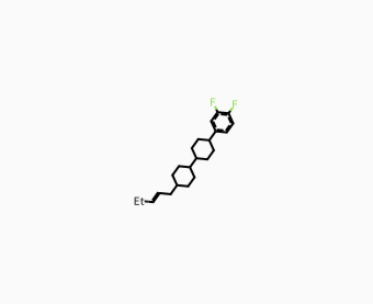 CCC=CCC1CCC(C2CCC(c3ccc(F)c(F)c3)CC2)CC1